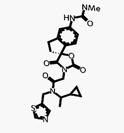 CNC(=O)Nc1ccc2c(c1)CC[C@@]21OC(=O)N(CC(=O)N(Cc2cncs2)C(C)C2CC2)C1=O